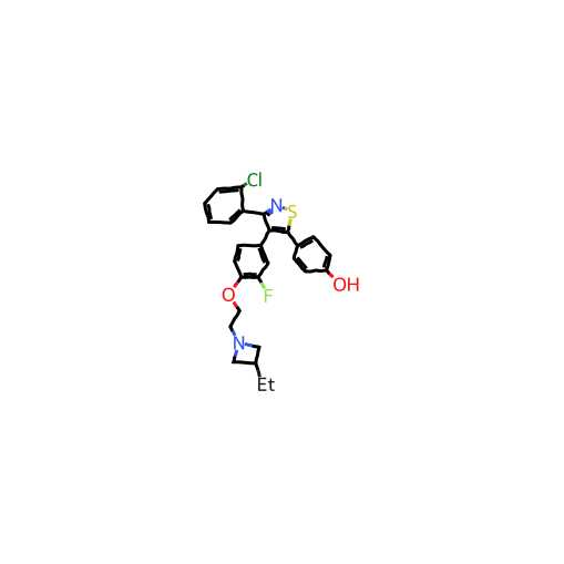 CCC1CN(CCOc2ccc(-c3c(-c4ccccc4Cl)nsc3-c3ccc(O)cc3)cc2F)C1